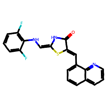 O=c1[nH]c(=CNc2c(F)cccc2F)sc1=Cc1cccc2cccnc12